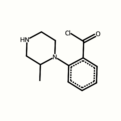 CC1CNCCN1c1ccccc1C(=O)Cl